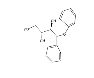 OC[C@@H](O)[C@@H](O)C(Oc1ccccc1)c1ccccc1